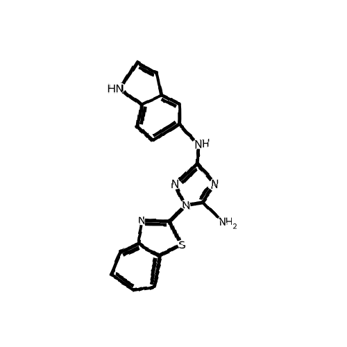 Nc1nc(Nc2ccc3[nH]ccc3c2)nn1-c1nc2ccccc2s1